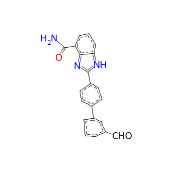 NC(=O)c1cccc2[nH]c(-c3ccc(-c4cccc(C=O)c4)cc3)nc12